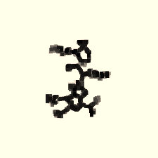 CCOC(=O)C(C(=O)[C@H]1CCC2(CC2)N1C(=O)O)n1cc2c(C(F)F)cc(Br)c(C)c2n1